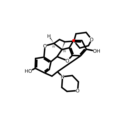 Oc1cc2c3cc1CC(N1CCOCC1)c1c(O)ccc4c1OC3[C@]41C(N3CCOCC3)C[C@@H]1O2